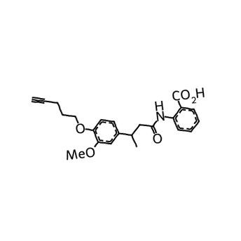 C#CCCCOc1ccc(C(C)CC(=O)Nc2ccccc2C(=O)O)cc1OC